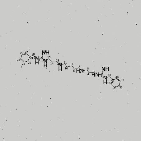 N=C(NCCCNCCCCCNCCCNC(=N)NCC1C=CC=CC1)NCc1ccccc1